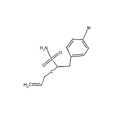 C=CCCC(Cc1ccc(Br)cc1)S(N)(=O)=O